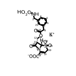 O=C(O)NCc1cccc(CC(=O)OC[C@H]2C(=O)N3C(C(=O)[O-])=CCS(=O)(=O)[C@@H]23)c1.[K+]